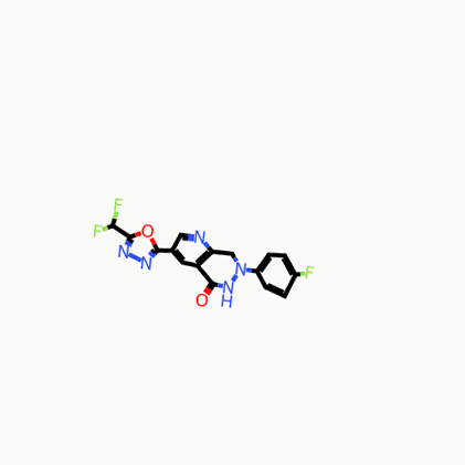 O=C1NN(c2ccc(F)cc2)Cc2ncc(-c3nnc(C(F)F)o3)cc21